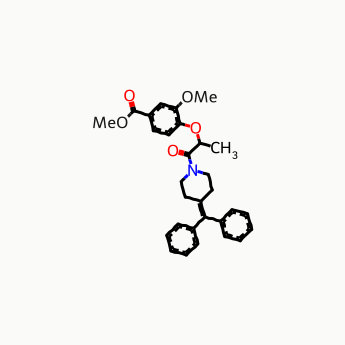 COC(=O)c1ccc(OC(C)C(=O)N2CCC(=C(c3ccccc3)c3ccccc3)CC2)c(OC)c1